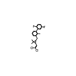 Cc1c(CC2C(C=C(Cl)Cl)C2(C)C)cccc1-c1cc(F)ccc1F